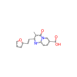 Cc1c(C=Cc2ccco2)nc2ccc(C(=O)O)cn2c1=O